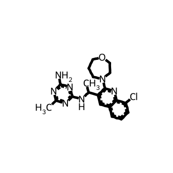 Cc1nc(N)nc(NC(C)c2cc3cccc(Cl)c3nc2N2CCCOCC2)n1